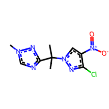 Cn1cnc(C(C)(C)n2cc([N+](=O)[O-])c(Cl)n2)n1